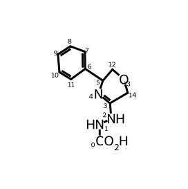 O=C(O)NNC1=NC(c2ccccc2)COC1